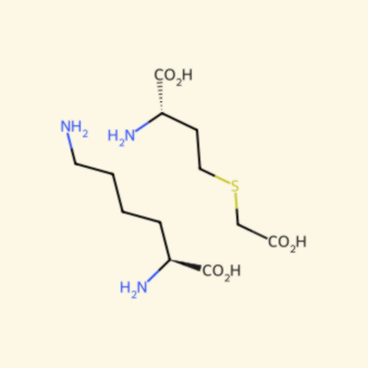 NCCCC[C@H](N)C(=O)O.N[C@@H](CCSCC(=O)O)C(=O)O